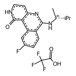 CC(C)[C@@H](C)Nc1nc2cc[nH]c(=O)c2c2cc(F)ccc12.O=C(O)C(F)(F)F